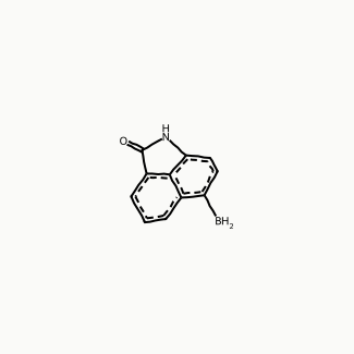 Bc1ccc2c3c(cccc13)C(=O)N2